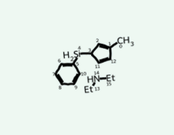 CC1=C[C]([SiH2]c2ccccc2)C=C1.CCNCC